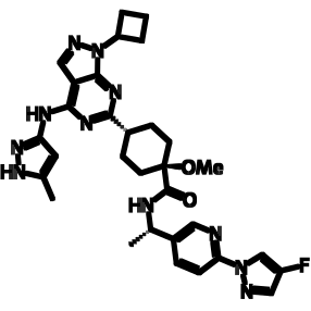 CO[C@]1(C(=O)N[C@@H](C)c2ccc(-n3cc(F)cn3)nc2)CC[C@@H](c2nc(Nc3cc(C)[nH]n3)c3cnn(C4CCC4)c3n2)CC1